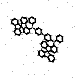 c1ccc(N(c2ccc(-c3ccc(N(c4ccccc4)c4cccc5c4-c4ccccc4C54c5ccccc5-c5ccccc54)cc3)cc2)c2cccc3c2-c2ccccc2C32c3ccccc3-c3ccccc32)cc1